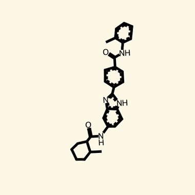 Cc1ccccc1NC(=O)c1ccc(-c2nc3cc(NC(=O)C4CCCCC4C)ccc3[nH]2)cc1